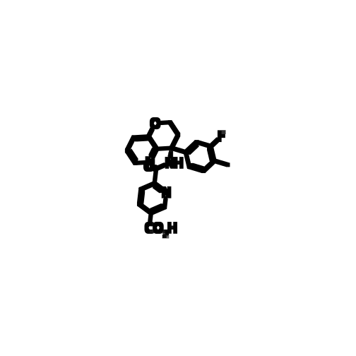 Cc1ccc([C@@]2(NC(=O)c3ccc(C(=O)O)cn3)CCOc3cccnc32)cc1F